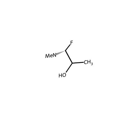 CN[C@H](F)C(C)O